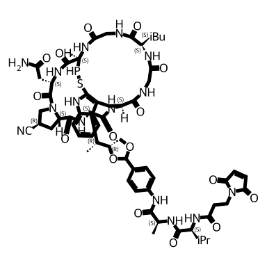 CC[C@H](C)[C@@H]1NC(=O)CNC(=O)[C@@H]2Cc3c([nH]c4ccccc34)SP[C@H](NC(=O)CNC1=O)C(=O)N[C@@H](CC(N)=O)C(=O)N1C[C@H](C#N)C[C@H]1C(=O)N[C@@H]([C@@H](C)[C@@H]1COC(c3ccc(NC(=O)[C@H](C)NC(=O)[C@@H](NC(=O)CCN4C(=O)C=CC4=O)C(C)C)cc3)O1)C(=O)N2